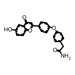 NC(=O)Cc1ccc(Oc2ccc(-c3cc(=O)c4cc(O)ccc4o3)cc2)cc1